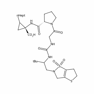 CCCCCCCC1C[C@]1(NC(=O)[C@@H]1CCCN1C(=O)CNC(=O)NC(CN1CC2=C(CCS2)S1(=O)=O)C(C)(C)C)C(=O)O